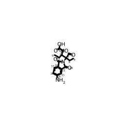 CCC(CC(=O)O)C(CC)(C(=O)O)N1C(=O)c2ccc(N)cc2C1=O